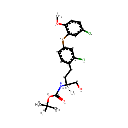 COc1ccc(Cl)cc1Sc1ccc(CC[C@@](C)(CO)NC(=O)OC(C)(C)C)c(Cl)c1